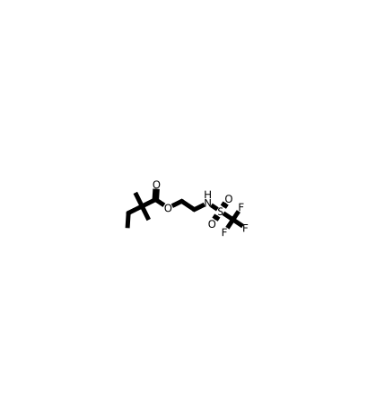 CCC(C)(C)C(=O)OCCNS(=O)(=O)C(F)(F)F